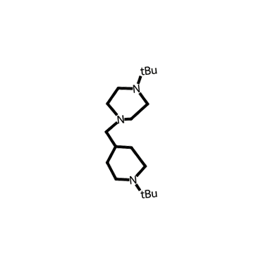 CC(C)(C)N1CCC(CN2CCN(C(C)(C)C)CC2)CC1